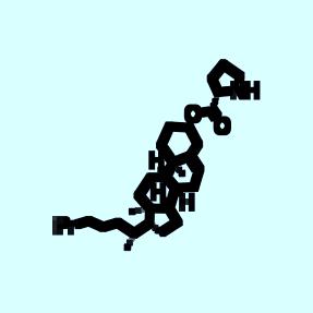 CC(C)CCC[C@@H](C)[C@H]1CC[C@H]2[C@@H]3CC=C4C[C@@H](OC(=O)[C@@H]5CCCN5)CC[C@]4(C)[C@H]3CC[C@]12C